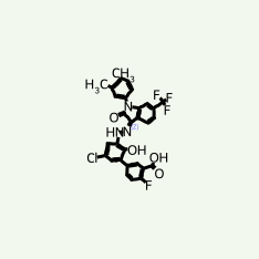 Cc1ccc(N2C(=O)/C(=N\Nc3cc(Cl)cc(-c4ccc(F)c(C(=O)O)c4)c3O)c3ccc(C(F)(F)F)cc32)cc1C